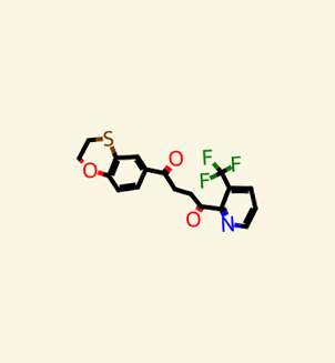 O=C(CCC(=O)c1ncccc1C(F)(F)F)c1ccc2c(c1)SCCO2